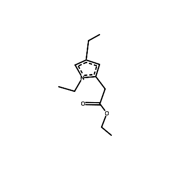 CCOC(=O)Cc1cc(CC)cn1CC